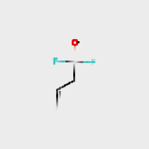 C=CCC([O])(F)F